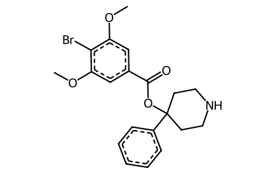 COc1cc(C(=O)OC2(c3ccccc3)CCNCC2)cc(OC)c1Br